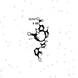 COC(=O)Nc1ccc2c(c1)NC(=O)[C@@H](C)CCC[C@H](Nc1nnn(-c3cccc(Cl)c3F)c1C)c1cc-2c(F)cn1